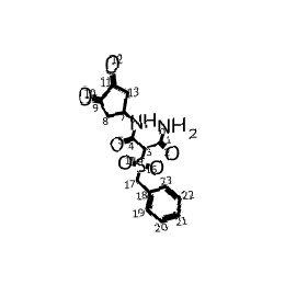 NC(=O)[C@H](C(=O)NC1CC(=O)C(=O)C1)S(=O)(=O)Cc1ccccc1